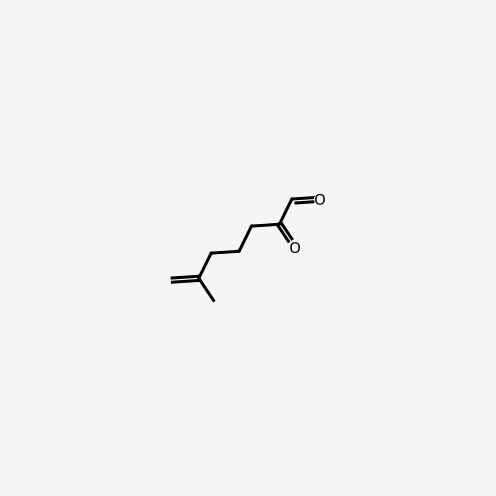 C=C(C)CCCC(=O)C=O